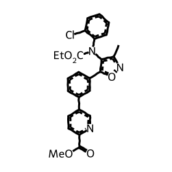 CCOC(=O)N(c1ccccc1Cl)c1c(C)noc1-c1cccc(-c2ccc(C(=O)OC)nc2)c1